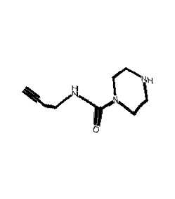 C#CCNC(=O)N1CCNCC1